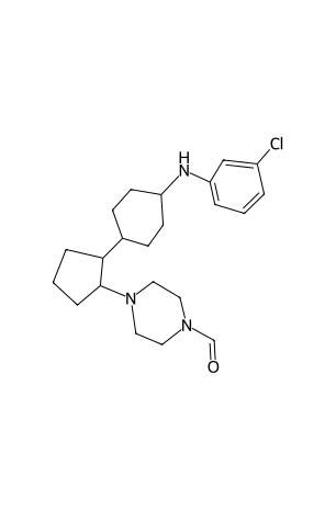 O=CN1CCN(C2CCCC2C2CCC(Nc3cccc(Cl)c3)CC2)CC1